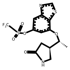 C[C@@H](Oc1cc(OS(=O)(=O)C(F)(F)F)cc2ncsc12)[C@H]1CNC(=O)C1